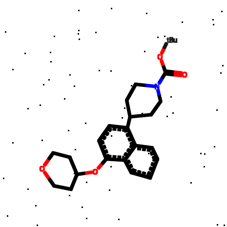 CC(C)(C)OC(=O)N1CCC(c2ccc(OC3CCOCC3)c3ccccc23)CC1